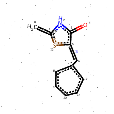 C=c1[nH]c(=O)/c(=C/c2ccccc2)s1